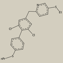 CCCSc1ccc(-c2c(Cl)cc(Cc3ccc(SCC)cn3)cc2Cl)cc1